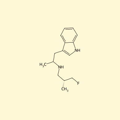 CC(Cc1c[nH]c2ccccc12)NC[C@@H](C)CF